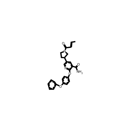 CC=CC(=O)N1CCC(c2cnc(Oc3ccc(Oc4ccccc4)cc3)c(C(N)=O)c2)C1